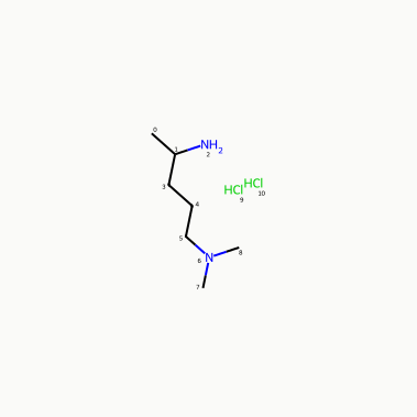 CC(N)CCCN(C)C.Cl.Cl